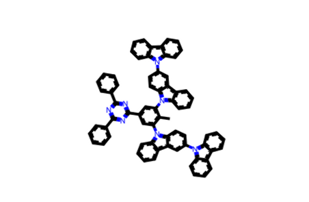 Cc1c(-n2c3ccccc3c3cc(-n4c5ccccc5c5ccccc54)ccc32)cc(-c2nc(-c3ccccc3)nc(-c3ccccc3)n2)cc1-n1c2ccccc2c2cc(-n3c4ccccc4c4ccccc43)ccc21